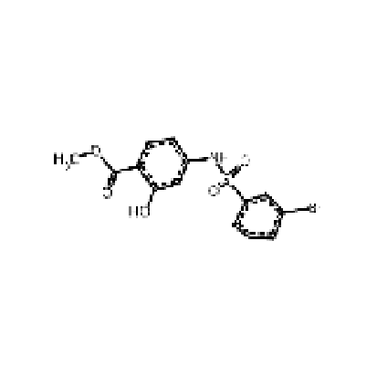 COC(=O)c1ccc(NS(=O)(=O)c2cccc(Br)c2)cc1O